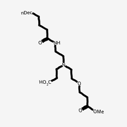 CCCCCCCCCCCCCC(=O)NCCN(CCOCCC(=O)OC)CCC(=O)O